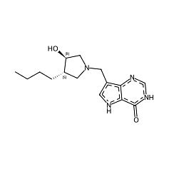 CCCC[C@H]1CN(Cc2c[nH]c3c(=O)[nH]cnc23)C[C@@H]1O